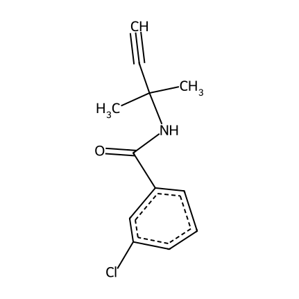 C#CC(C)(C)NC(=O)c1cccc(Cl)c1